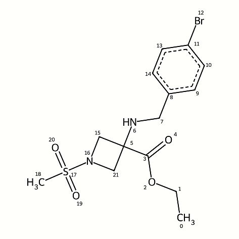 CCOC(=O)C1(NCc2ccc(Br)cc2)CN(S(C)(=O)=O)C1